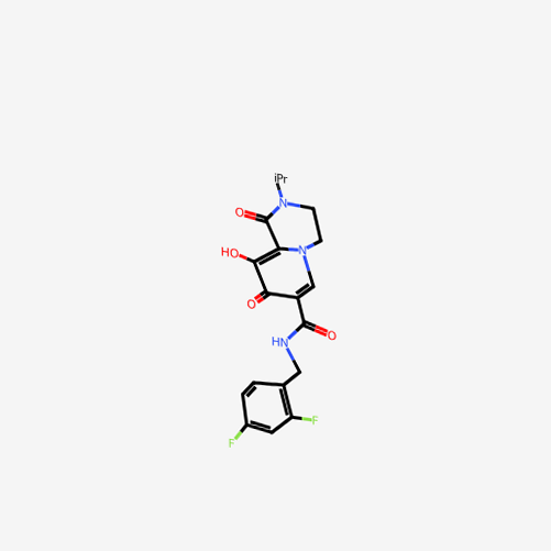 CC(C)N1CCn2cc(C(=O)NCc3ccc(F)cc3F)c(=O)c(O)c2C1=O